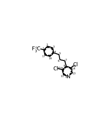 FC(F)(F)c1ccc(CC[CH]c2c(Cl)cncc2Cl)cc1